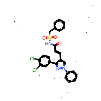 O=C(/C=C/c1cn(-c2ccccc2)nc1-c1ccc(Cl)c(Cl)c1)NS(=O)(=O)Cc1ccccc1